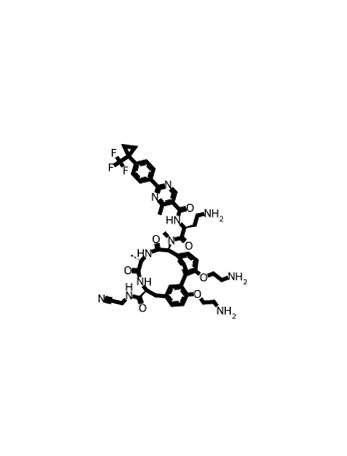 Cc1nc(-c2ccc(C3(C(F)(F)F)CC3)cc2)ncc1C(=O)N[C@@H](CCN)C(=O)N(C)[C@@H]1C(=O)N[C@@H](C)C(=O)N[C@H](C(=O)NCC#N)Cc2ccc(OCCN)c(c2)-c2cc1ccc2OCCN